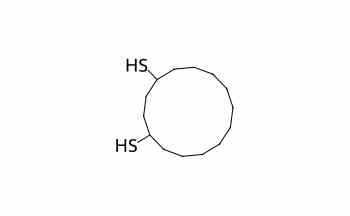 SC1CCCCCCCCCCC(S)CC1